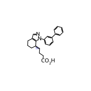 O=C(O)CC/C=C1\CCCc2cnn(-c3cccc(-c4ccccc4)c3)c21